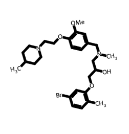 COc1cc(CN(C)CC(O)COc2cc(Br)ccc2C)ccc1OCCN1CCC(C)CC1